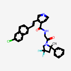 N#CC1(c2ccccc2)CC(F)(F)CN1C(=O)CNC(=O)c1ccncc1/C=C/c1ccc2cc(Cl)ccc2c1